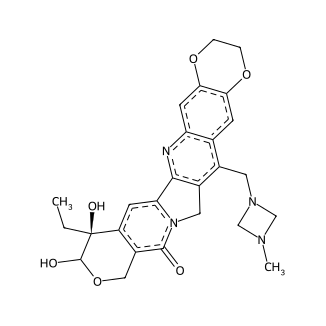 CC[C@]1(O)c2cc3n(c(=O)c2COC1O)Cc1c-3nc2cc3c(cc2c1CN1CN(C)C1)OCCO3